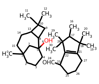 CC12CCCC(O)(C1)C1CC(C)(C)C1CC2.CC1C(C)(C)C2=C(C(C=O)CCC2)C1(C)C